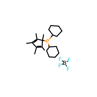 CC1=C(C)C(C)(P(C2CCCCC2)C2CCCCC2)C(C)=C1C.F[B-](F)(F)F